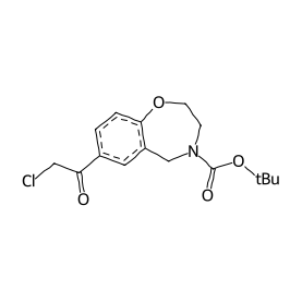 CC(C)(C)OC(=O)N1CCOc2ccc(C(=O)CCl)cc2C1